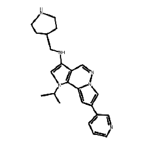 CC(C)n1cc(NCC2CCNCC2)c2cnn3cc(-c4cccnc4)cc3c21